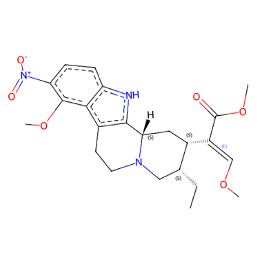 CC[C@@H]1CN2CCc3c([nH]c4ccc([N+](=O)[O-])c(OC)c34)[C@@H]2C[C@@H]1/C(=C\OC)C(=O)OC